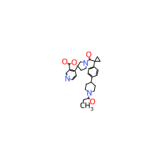 CCC(=O)N1CCC(c2ccc(C3(C(=O)N4CCC5(C4)OC(=O)c4cnccc45)CC3)cc2)CC1